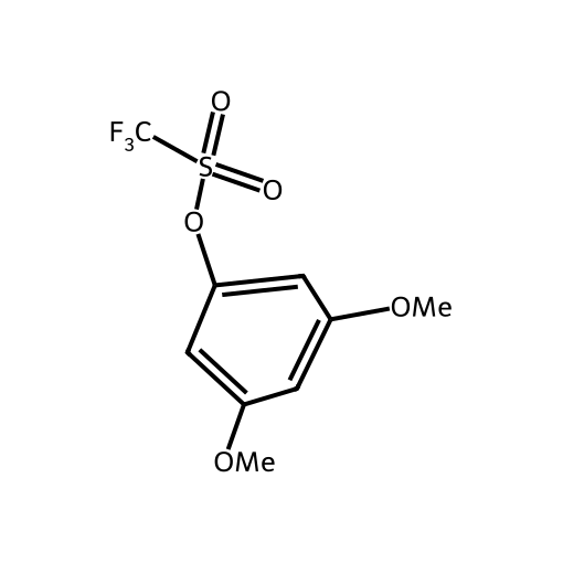 COc1cc(OC)cc(OS(=O)(=O)C(F)(F)F)c1